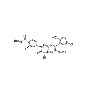 CCC(C(=O)Nc1ccc(C(=O)OC(C)(C)C)c(F)c1)n1cc(OC)c(-c2cc(Cl)ccc2C#N)cc1=O